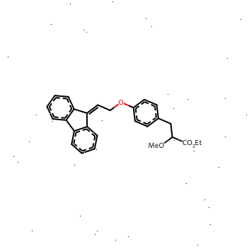 CCOC(=O)C(Cc1ccc(OCC=C2c3ccccc3-c3ccccc32)cc1)OC